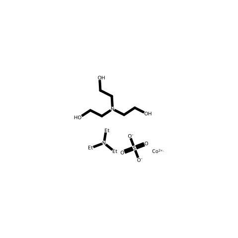 CCN(CC)CC.O=S(=O)([O-])[O-].OCCN(CCO)CCO.[Co+2]